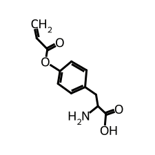 C=CC(=O)Oc1ccc(CC(N)C(=O)O)cc1